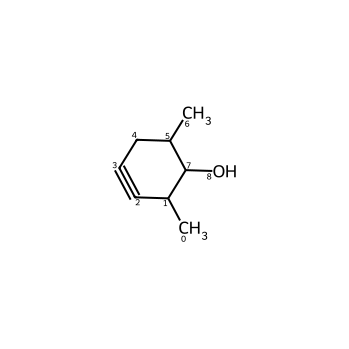 CC1C#CCC(C)C1O